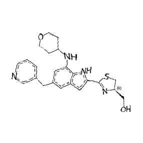 OC[C@@H]1CSC(c2cc3cc(Cc4cccnc4)cc(NC4CCOCC4)c3[nH]2)=N1